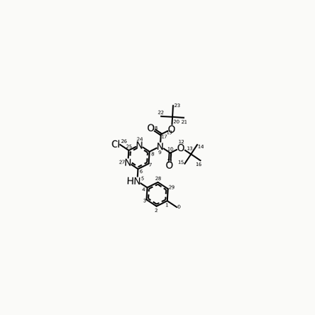 Cc1ccc(Nc2cc(N(C(=O)OC(C)(C)C)C(=O)OC(C)(C)C)nc(Cl)n2)cc1